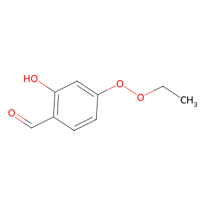 CCOOc1ccc(C=O)c(O)c1